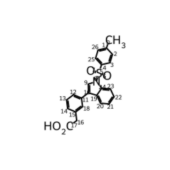 Cc1ccc(S(=O)(=O)n2cc(-c3cccc(CC(=O)O)c3)c3ccccc32)cc1